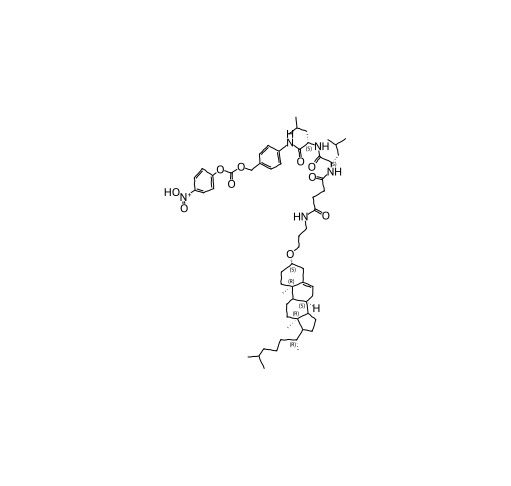 CC(C)CCC[C@@H](C)C1CCC2[C@@H]3CC=C4C[C@@H](OCCCNC(=O)CCC(=O)N[C@@H](CC(C)C)C(=O)N[C@@H](CC(C)C)C(=O)Nc5ccc(COC(=O)Oc6ccc([N+](=O)O)cc6)cc5)CC[C@]4(C)C3CC[C@@]21C